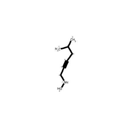 CC(C)CC#CCNO